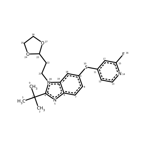 CC(C)(C)c1nc2ccc(Sc3ccnc(F)c3)cc2n1CCC1OCCO1